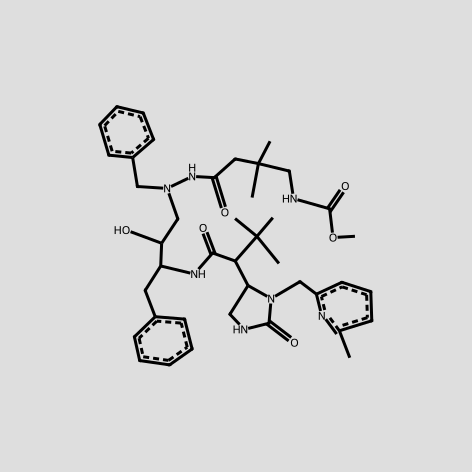 COC(=O)NCC(C)(C)CC(=O)NN(Cc1ccccc1)CC(O)C(Cc1ccccc1)NC(=O)C(C1CNC(=O)N1Cc1cccc(C)n1)C(C)(C)C